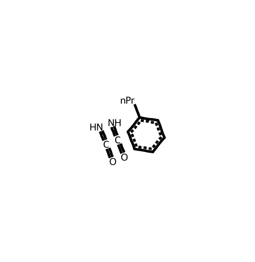 CCCc1ccccc1.N=C=O.N=C=O